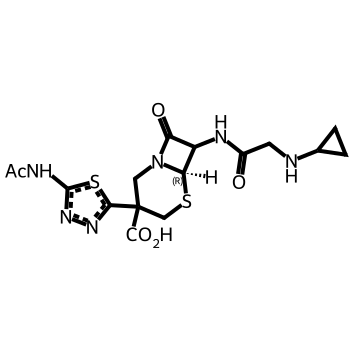 CC(=O)Nc1nnc(C2(C(=O)O)CS[C@@H]3C(NC(=O)CNC4CC4)C(=O)N3C2)s1